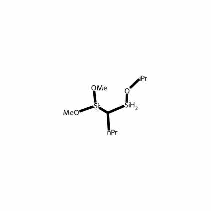 CCCC([SiH2]OC(C)C)[Si](OC)OC